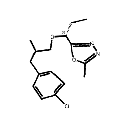 CC[C@@H](OCC(C)Cc1ccc(Cl)cc1)c1nnc(C)o1